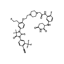 CC1(C)C(=O)N(c2ccc(C#N)c(C(F)(F)F)c2)C(=S)N1c1ccc(OCCN2CCN(CC(=O)Nc3cc(NC4CCC(=O)NC4=O)ccc3F)CC2)c(CCF)c1